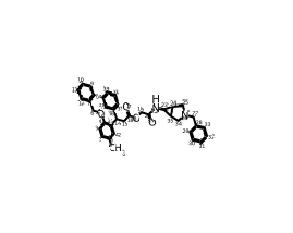 Cc1ccc(OCc2ccccc2)c(C(CC(=O)OCC(=O)NC2C3CN(Cc4ccccc4)CC32)c2ccccc2)c1